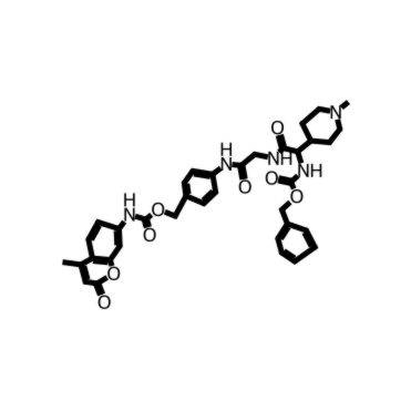 Cc1cc(=O)oc2cc(NC(=O)OCc3ccc(NC(=O)CNC(=O)C(NC(=O)OCc4ccccc4)C4CCN(C)CC4)cc3)ccc12